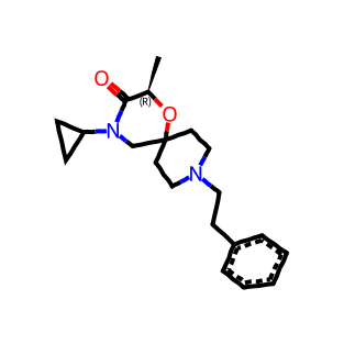 C[C@H]1OC2(CCN(CCc3ccccc3)CC2)CN(C2CC2)C1=O